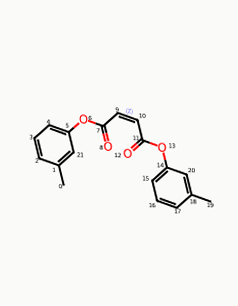 Cc1cccc(OC(=O)/C=C\C(=O)Oc2cccc(C)c2)c1